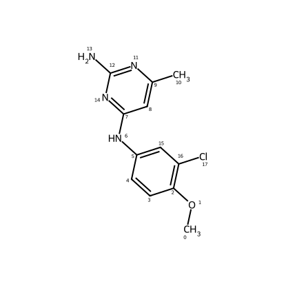 COc1ccc(Nc2cc(C)nc(N)n2)cc1Cl